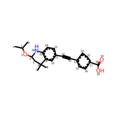 CC(C)OC1CC(C)(C)c2cc(C#Cc3ccc(C(=O)O)cc3)ccc2N1